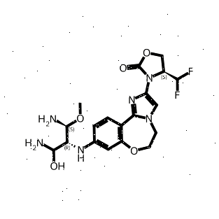 CO[C@H](N)[C@H](Nc1ccc2c(c1)OCCn1cc(N3C(=O)OC[C@H]3C(F)F)nc1-2)C(N)O